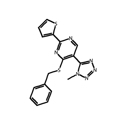 Cn1nnnc1-c1cnc(-c2cccs2)nc1SCc1ccccc1